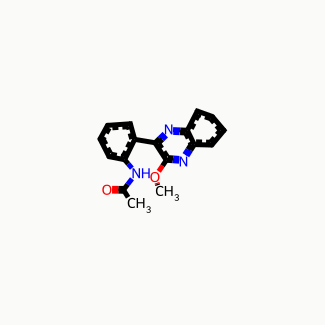 COc1nc2ccccc2nc1-c1ccccc1NC(C)=O